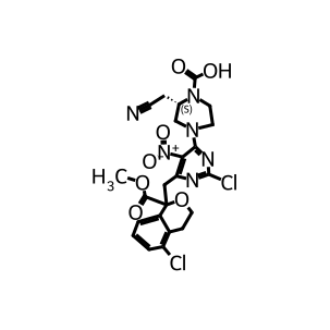 COC(=O)C1(Cc2nc(Cl)nc(N3CCN(C(=O)O)[C@@H](CC#N)C3)c2[N+](=O)[O-])OCCc2c(Cl)cccc21